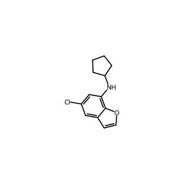 Clc1cc(NC2CCCC2)c2occc2c1